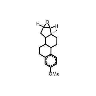 COc1ccc2c(c1)CCC1C2CC[C@@]2(C)C1C[C@@H]1O[C@@H]12